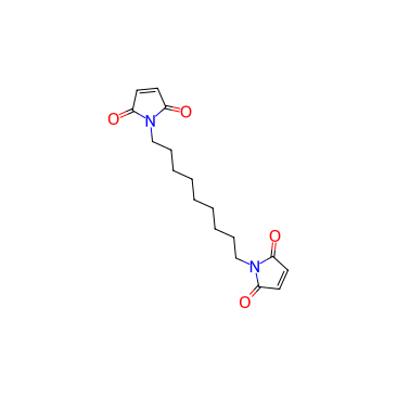 O=C1C=CC(=O)N1CCCCCCCCCN1C(=O)C=CC1=O